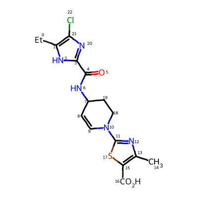 CCc1[nH]c(C(=O)NC2C=CN(c3nc(C)c(C(=O)O)s3)CC2)nc1Cl